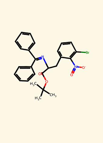 CC(C)(C)OC(=O)C(Cc1cccc(Br)c1[N+](=O)[O-])N=C(c1ccccc1)c1ccccc1